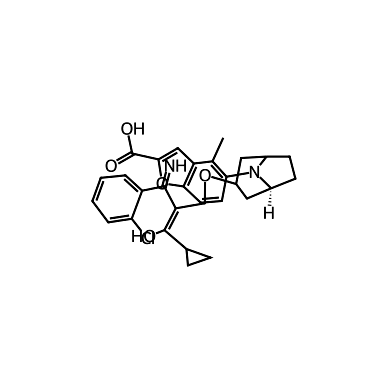 Cc1c(N2C3CC[C@H]2CC(OC/C(C(=N)c2ccccc2Cl)=C(/O)C2CC2)C3)ccc2oc(C(=O)O)cc12